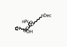 CCCCCCCCCCCCCCCCCOCC(COP(O)OCCCN1CCCC1)CC(=O)CCC